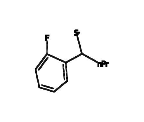 CCCC([S])c1ccccc1F